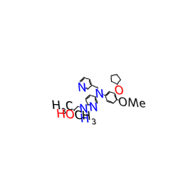 COc1ccc(N(Cc2cccnc2)c2ccc(NCC(C)(C)O)nc2)cc1OC1CCCC1